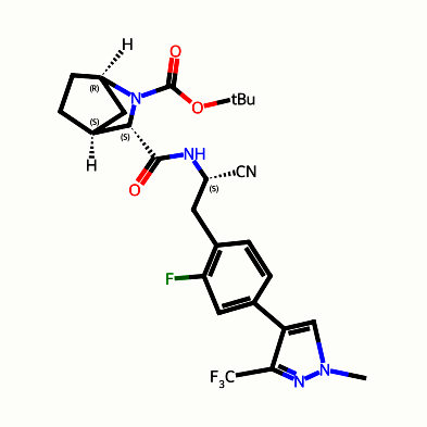 Cn1cc(-c2ccc(C[C@@H](C#N)NC(=O)[C@@H]3[C@H]4CC[C@H](C4)N3C(=O)OC(C)(C)C)c(F)c2)c(C(F)(F)F)n1